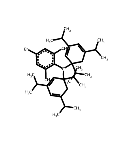 Cc1cc(Br)cc(C)c1P(C1(C(C)C)C=C(C(C)C)C=C(C(C)C)C1)C1(C(C)C)C=C(C(C)C)C=C(C(C)C)C1